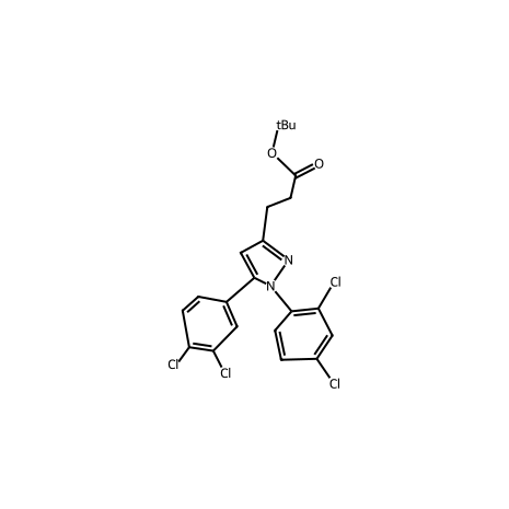 CC(C)(C)OC(=O)CCc1cc(-c2ccc(Cl)c(Cl)c2)n(-c2ccc(Cl)cc2Cl)n1